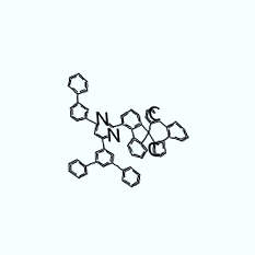 c1ccc(-c2cccc(-c3cc(-c4cc(-c5ccccc5)cc(-c5ccccc5)c4)nc(-c4cccc5c4-c4ccccc4C54c5ccccc5-c5ccccc5-c5ccccc54)n3)c2)cc1